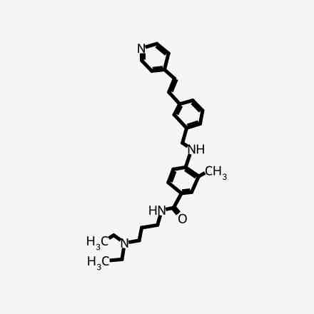 CCN(CC)CCCNC(=O)c1ccc(NCc2cccc(C=Cc3ccncc3)c2)c(C)c1